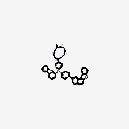 C=C1/C=C\C=C/C/C(c2ccc(N(C3=C4Sc5ccccc5C4CC=C3)c3ccc(-c4ccc5ccc6oc7ccccc7c6c5c4)cc3)cc2)=C\C=C/1